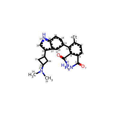 CCc1ccc(C(N)=O)c(C(N)=O)c1-c1ccc2[nH]cc(C3CC(N(C)C)C3)c2c1